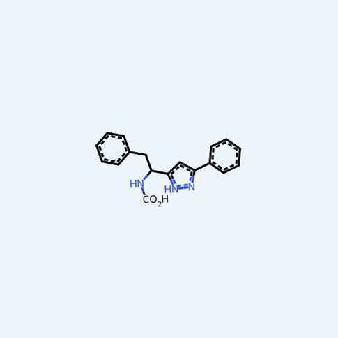 O=C(O)NC(Cc1ccccc1)c1cc(-c2ccccc2)n[nH]1